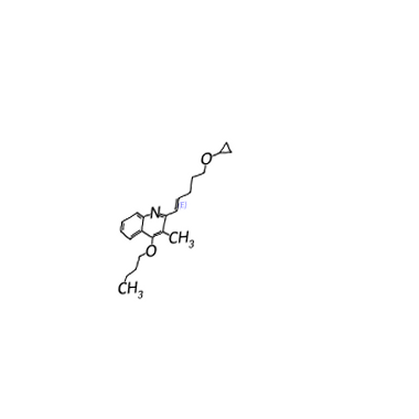 CCCCOc1c(C)c(/C=C/CCCOC2CC2)nc2ccccc12